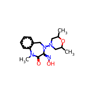 CC1CN(N2Cc3ccccc3N(C)C(=O)C2=NO)CC(C)O1